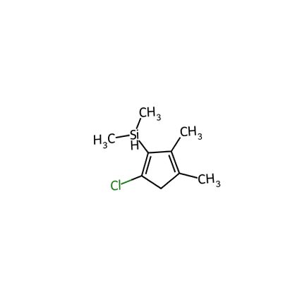 CC1=C(C)C([SiH](C)C)=C(Cl)C1